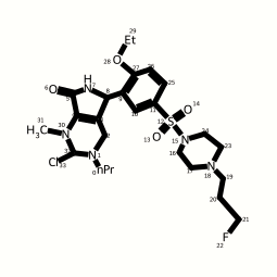 CCCN1CC2=C(C(=O)NC2c2cc(S(=O)(=O)N3CCN(CCCF)CC3)ccc2OCC)N(C)C1Cl